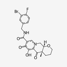 C[C@]12CCCO[C@H]1Cn1cc(C(=O)NCc3ccc(F)c(Br)c3)c(=O)c(O)c1C2=O